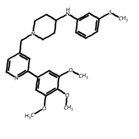 COc1cc(-c2cc(CN3CCC(Nc4cccc(SC)c4)CC3)ccn2)cc(OC)c1OC